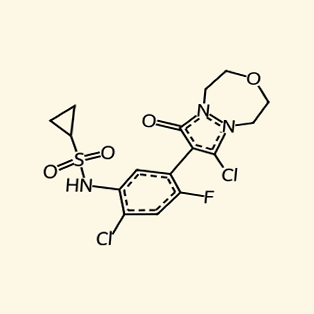 O=c1c(-c2cc(NS(=O)(=O)C3CC3)c(Cl)cc2F)c(Cl)n2n1CCOCC2